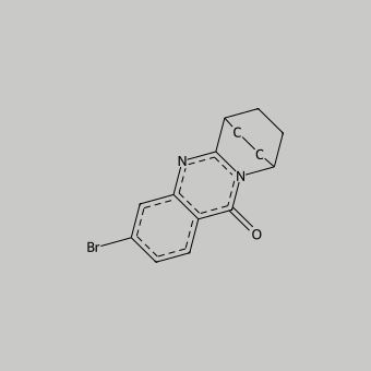 O=c1c2ccc(Br)cc2nc2n1C1CCC2CC1